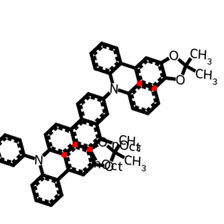 CCCCCCCCc1c(CCCCCCCC)c2cc(N(c3ccccc3)c3ccccc3-c3ccc4c(c3)OC(C)(C)O4)ccc2c2ccc(N(c3ccccc3)c3ccccc3-c3ccc4c(c3)OC(C)(C)O4)cc12